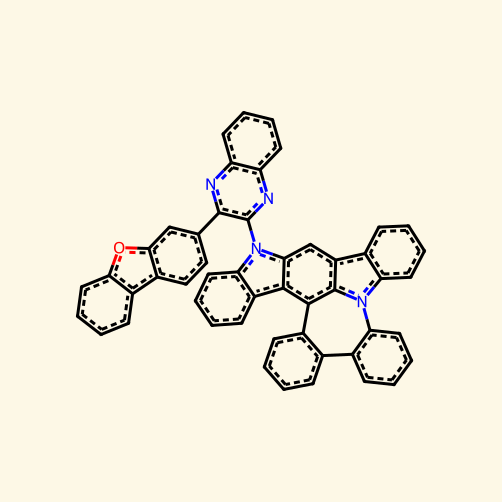 c1ccc2c(c1)-c1ccccc1-n1c3ccccc3c3cc4c(c-2c31)c1ccccc1n4-c1nc2ccccc2nc1-c1ccc2c(c1)oc1ccccc12